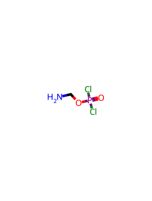 NCOP(=O)(Cl)Cl